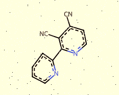 N#Cc1ccnc(-c2ccccn2)c1C#N